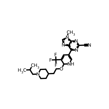 CC(C)CN1CCC(CCOC2NC=C(c3nc(C#N)nc4c3ncn4C)C=C2C(F)(F)F)CC1